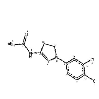 CCCCC(=O)NC1=NN(c2ccc(Cl)c(Cl)c2)CC1